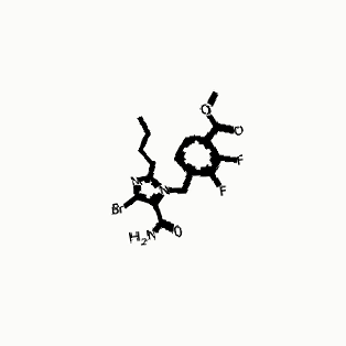 CCCCc1nc(Br)c(C(N)=O)n1Cc1ccc(C(=O)OC)c(F)c1F